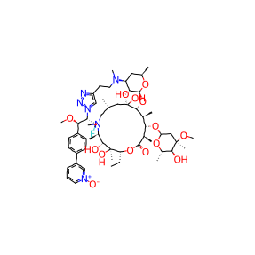 CC[C@H]1OC(=O)[C@H](C)[C@@H](O[C@H]2C[C@@](C)(OC)[C@@H](O)[C@H](C)O2)[C@H](C)[C@@H](O[C@@H]2O[C@H](C)C[C@H](N(C)CCc3cn([C@H](CF)[C@H](OC)c4ccc(-c5ccc[n+]([O-])c5)cc4)nn3)[C@H]2O)[C@](C)(O)C[C@@H](C)CN(C)[C@H](C)[C@@H](O)[C@]1(C)O